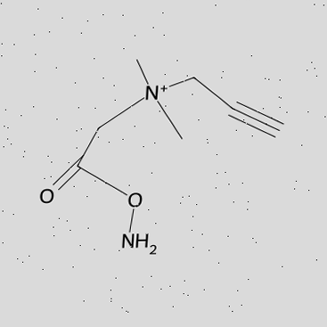 C#CC[N+](C)(C)CC(=O)ON